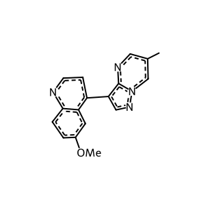 COc1ccc2nccc(-c3cnn4cc(C)cnc34)c2c1